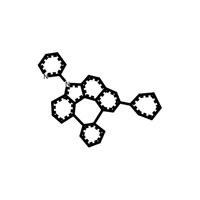 c1ccc(-c2cc3c4c(ccc5c4c4c(cccc4n5-c4ccccn4)-c4ccccc4-3)c2)cc1